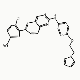 Oc1ccc(Cl)c(-c2ccc3nc(Nc4ccc(OCCn5[c]ccc5)cc4)ncc3c2)c1